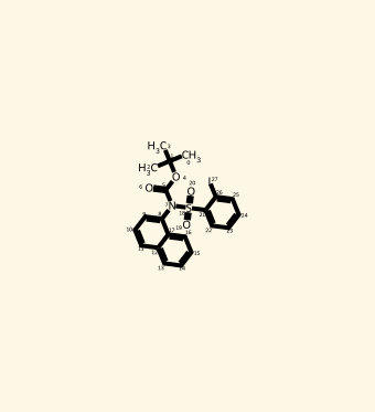 CC(C)(C)OC(=O)N(c1cccc2ccccc12)S(=O)(=O)c1ccccc1I